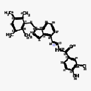 Cc1cc(C)c(C)c(Cn2ccc3c(/C=N/NC(=O)c4ccc(O)c(Cl)c4)cccc32)c1C